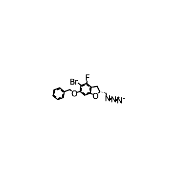 [N-]=[N+]=NC[C@H]1Cc2c(cc(OCc3ccccc3)c(Br)c2F)O1